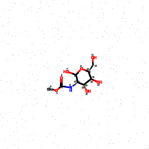 CC(C)(C)OC(=O)N[C@@H]1C(O)O[C@H](CO)[C@@H](O)[C@@H]1O